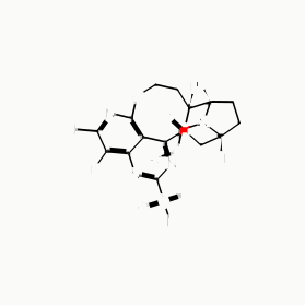 CCS(=O)(=O)c1nc2c3c(nc(Cl)c(F)c3n1)OCC[C@@H]1[C@@H]3CC[C@H](CN21)N3C(=O)OC(C)(C)C